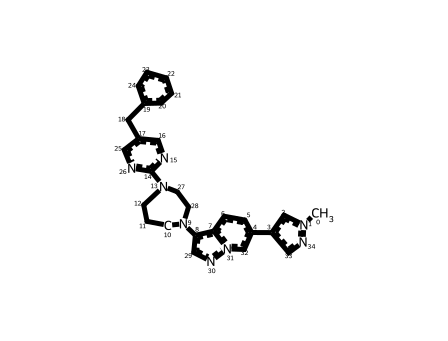 Cn1cc(-c2ccc3c(N4CCCN(c5ncc(Cc6ccccc6)cn5)CC4)cnn3c2)cn1